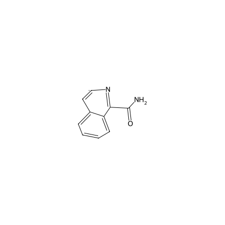 NC(=O)c1n[c]cc2ccccc12